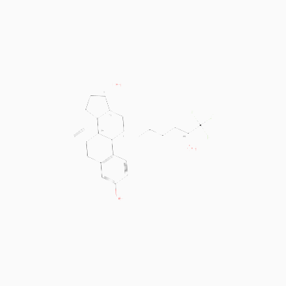 C=C[C@@]12CCc3cc(O)ccc3C1[C@@H](CCCC[C@@H](O)C(F)(F)F)C[C@@]1(C)C2CC[C@@H]1O